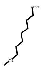 CCCCCCCCCCC[CH2][Mg][I]